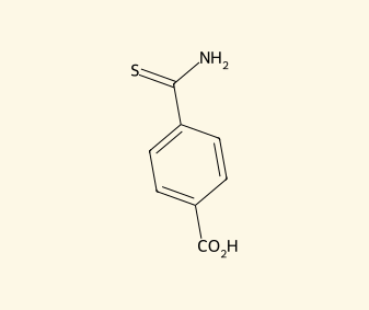 NC(=S)c1ccc(C(=O)O)cc1